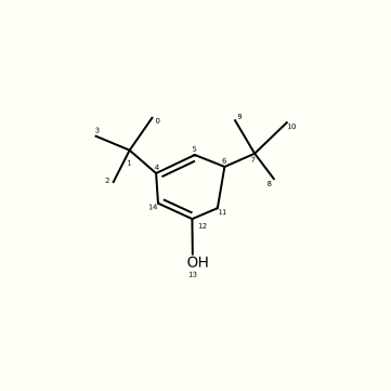 CC(C)(C)C1=CC(C(C)(C)C)CC(O)=C1